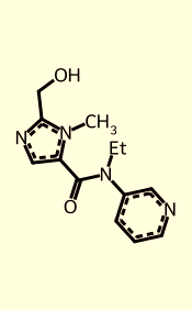 CCN(C(=O)c1cnc(CO)n1C)c1cccnc1